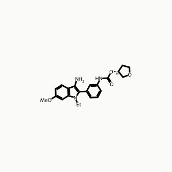 CCn1c(-c2cccc(NC(=O)O[C@@H]3CCOC3)c2)c(N)c2ccc(OC)cc21